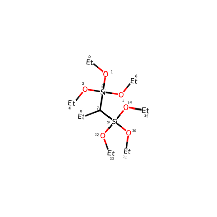 CCO[Si](OCC)(OCC)[C](CC)[Si](OCC)(OCC)OCC